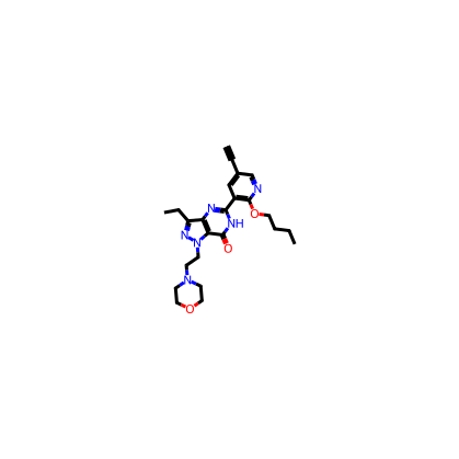 C#Cc1cnc(OCCCC)c(-c2nc3c(CC)nn(CCN4CCOCC4)c3c(=O)[nH]2)c1